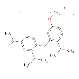 COc1ccc(C(C)C)c(Cc2ccc(C(C)=O)cc2C(C)C)c1